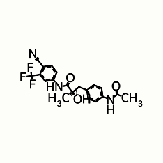 CC(=O)Nc1ccc(C[C@](C)(O)C(=O)Nc2ccc(C#N)c(C(F)(F)F)c2)cc1